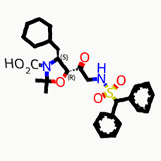 CC1(C)O[C@@H](C(=O)CNS(=O)(=O)C(c2ccccc2)c2ccccc2)[C@H](CC2CCCCC2)N1C(=O)O